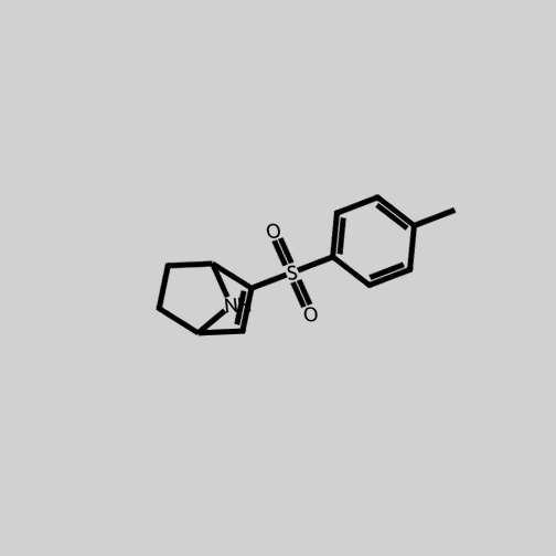 Cc1ccc(S(=O)(=O)C2=CC3CCC2N3)cc1